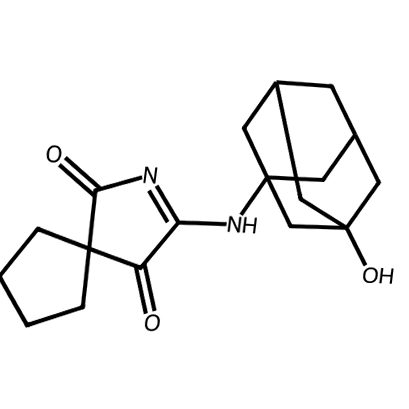 O=C1N=C(NC23CC4CC(CC(O)(C4)C2)C3)C(=O)C12CCCC2